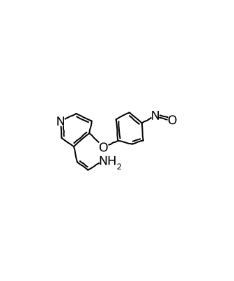 N/C=C\c1cnccc1Oc1ccc(N=O)cc1